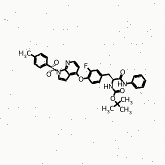 Cc1ccc(S(=O)(=O)n2ccc3c(Oc4ccc(C[C@H](NC(=O)OC(C)(C)C)C(=O)Nc5ccccc5)cc4F)ccnc32)cc1